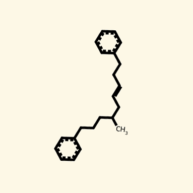 CC(CC=CCCc1ccccc1)CCCc1ccccc1